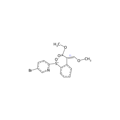 CO/C=C(/C(=O)OC)c1ccccc1[S+]([O-])c1ccc(Br)cn1